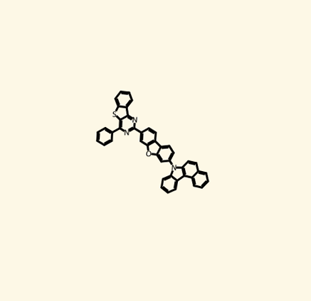 c1ccc(-c2nc(-c3ccc4c(c3)oc3cc(-n5c6ccccc6c6c7ccccc7ccc65)ccc34)nc3c2sc2ccccc23)cc1